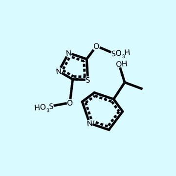 CC(O)c1ccncc1.O=S(=O)(O)Oc1nnc(OS(=O)(=O)O)s1